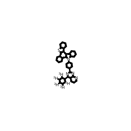 [2H]c1c([2H])c([2H])c(-c2nc(-c3ccc(-n4c5ccccc5c5c6c7ccccc7sc6c6ccccc6c54)cc3)nc3ncccc23)c([2H])c1[2H]